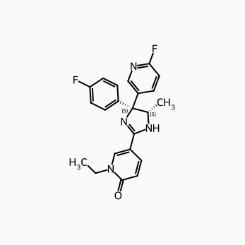 CCn1cc(C2=N[C@@](c3ccc(F)cc3)(c3ccc(F)nc3)[C@H](C)N2)ccc1=O